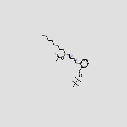 CCCCCCCCC(/C=C/C=C/c1ccccc1CO[Si](C)(C)C(C)(C)C)OC(C)=O